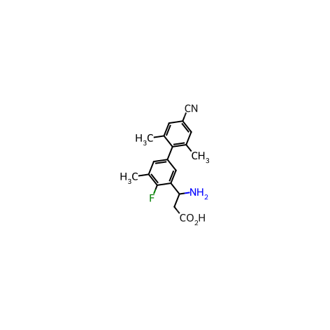 Cc1cc(-c2c(C)cc(C#N)cc2C)cc(C(N)CC(=O)O)c1F